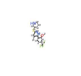 COc1cc(C(F)(F)F)ccc1-c1nnc(S[C@@H]2CCCNC2)cc1C